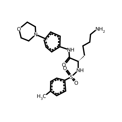 Cc1ccc(S(=O)(=O)N[C@@H](CCCCN)C(=O)Nc2ccc(N3CCOCC3)cc2)cc1